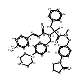 CN(Cc1ccc(N2CCCC2=O)cc1)C(=O)C(I)(Cc1ccccc1)N(Cc1ccc(N2CCOCC2)cc1)C(=O)C=Cc1ccc(C(F)(F)F)nc1